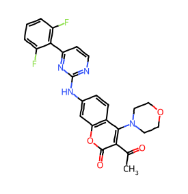 CC(=O)c1c(N2CCOCC2)c2ccc(Nc3nccc(-c4c(F)cccc4F)n3)cc2oc1=O